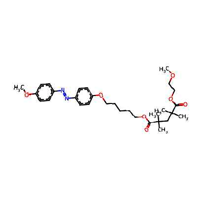 COCCOC(=O)C(C)(C)CC(C)(C)C(=O)OCCCCCOc1ccc(N=Nc2ccc(OC)cc2)cc1